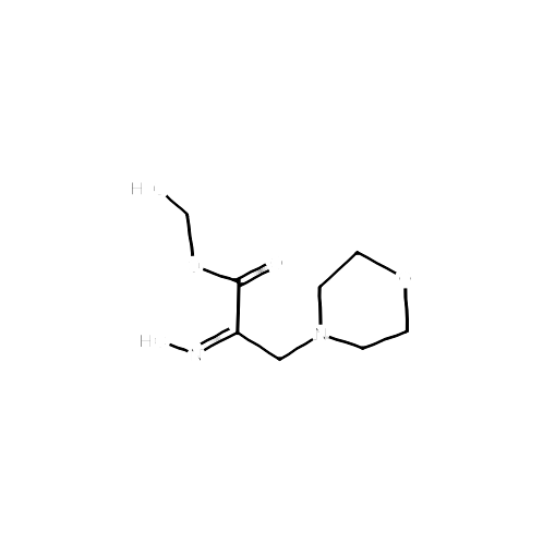 CCOC(=O)/C(CN1CCOCC1)=N\O